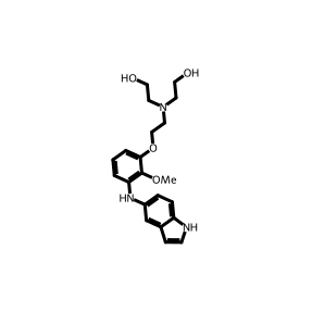 COc1c(Nc2ccc3[nH]ccc3c2)cccc1OCCN(CCO)CCO